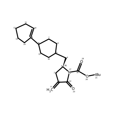 C=C1C[C@@H](CC2CCC(C3=CCCCC3)CC2)N(C(=O)OC(C)(C)C)C1=O